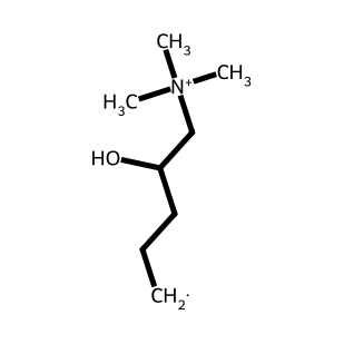 [CH2]CCC(O)C[N+](C)(C)C